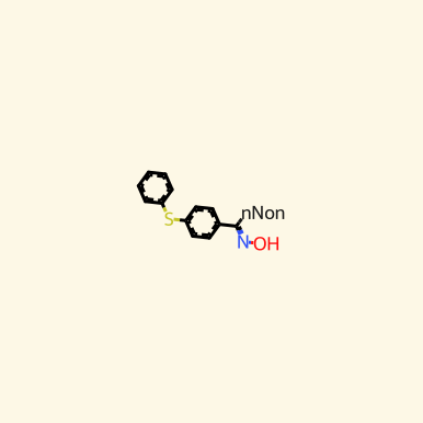 CCCCCCCCC/C(=N\O)c1ccc(Sc2ccccc2)cc1